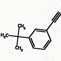 [C]#Cc1cccc(C(C)(C)C)c1